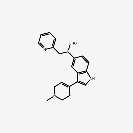 CN1CC=C(c2c[nH]c3ccc(N(C=O)Cc4ccccn4)cc23)CC1